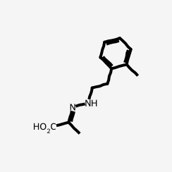 CC(=NNCCc1ccccc1C)C(=O)O